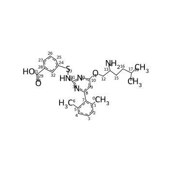 Cc1cccc(C)c1-c1cc(OCC(N)CCC(C)C)nc(NSc2cccc(C(=O)O)c2)n1